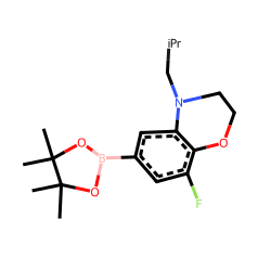 CC(C)CN1CCOc2c(F)cc(B3OC(C)(C)C(C)(C)O3)cc21